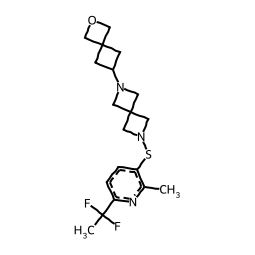 Cc1nc(C(C)(F)F)ccc1SN1CC2(C1)CN(C1CC3(COC3)C1)C2